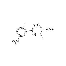 COC(=O)C(C)NC(=O)c1cc([N+](=O)[O-])ccc1C